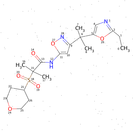 CCc1ncc(C(C)(C)c2cc(NC(=O)C(C)(C)S(=O)(=O)C3CCOCC3)on2)o1